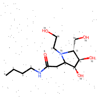 CCCCNC(=O)CC1[C@H](O)[C@H](O)[C@@H](CO)N1CCO